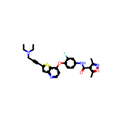 CCN(CC)CC#Cc1cc2nccc(Oc3ccc(NC(=O)c4c(C)noc4C)cc3F)c2s1